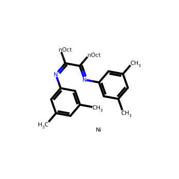 CCCCCCCCC(=Nc1cc(C)cc(C)c1)C(CCCCCCCC)=Nc1cc(C)cc(C)c1.[Ni]